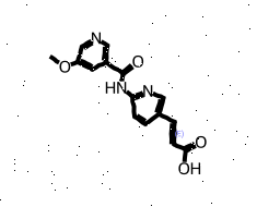 COc1cncc(C(=O)Nc2ccc(/C=C/C(=O)O)cn2)c1